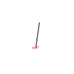 CCCCCCCCCCCCCCCCC=CCCCCCC(=O)O